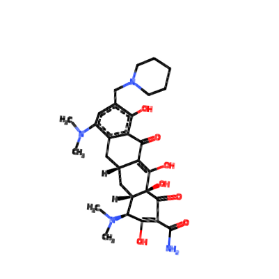 CN(C)c1cc(CN2CCCCC2)c(O)c2c1C[C@H]1C[C@H]3[C@H](N(C)C)C(O)=C(C(N)=O)C(=O)[C@@]3(O)C(O)=C1C2=O